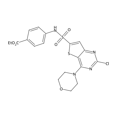 CCOC(=O)c1ccc(NS(=O)(=O)c2cc3nc(Cl)nc(N4CCOCC4)c3s2)cc1